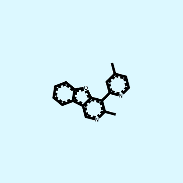 Cc1ccnc(-c2c(C)ncc3c2oc2ccccc23)c1